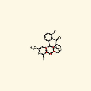 Cc1cnc(OC2CC3CCC2N(C(=O)c2c(F)cccc2-c2ncccn2)C3)c(F)n1